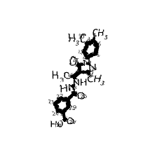 CC1=NN(c2ccc(C)c(C)c2)C(=O)C1=C(C)NNC(=O)c1cccc(C(=O)O)c1